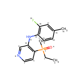 CCP(C)(=O)c1ccncc1Nc1ccc(C)cc1F